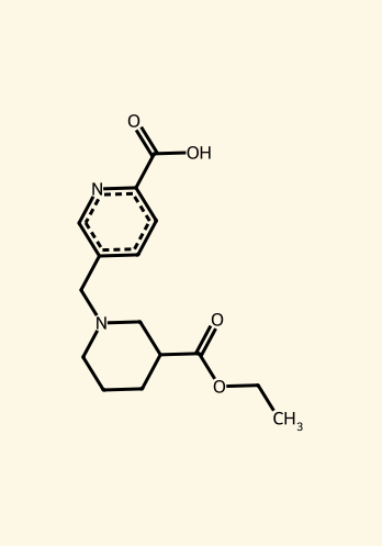 CCOC(=O)C1CCCN(Cc2ccc(C(=O)O)nc2)C1